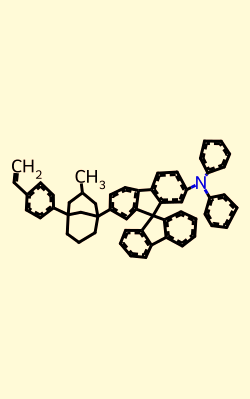 C=Cc1ccc(C23CCCC(c4ccc5c(c4)C4(c6ccccc6-c6ccccc64)c4cc(N(c6ccccc6)c6ccccc6)ccc4-5)(CC(C)C2)C3)cc1